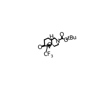 CC(C)(C)OC(=O)N1CC[C@]23OC[C@H](C(F)(F)F)N2C(=O)CC[C@@H]3C1